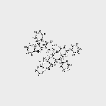 CC1(C)c2ccccc2Sc2cc3c(-c4ccccc4)c4cc(-c5ccccc5)ccc4c(-c4cccc(-c5nc6ccccc6n5-c5ccccc5)c4)c3cc21